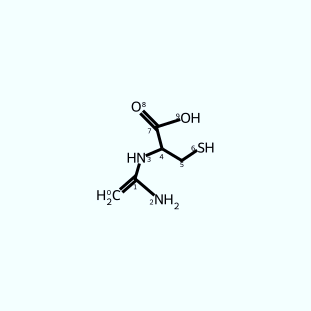 C=C(N)NC(CS)C(=O)O